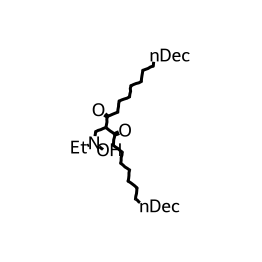 CCCCCCCCCCCCCCCCCC(=O)C(CN(O)CC)C(=O)CCCCCCCCCCCCCCCCC